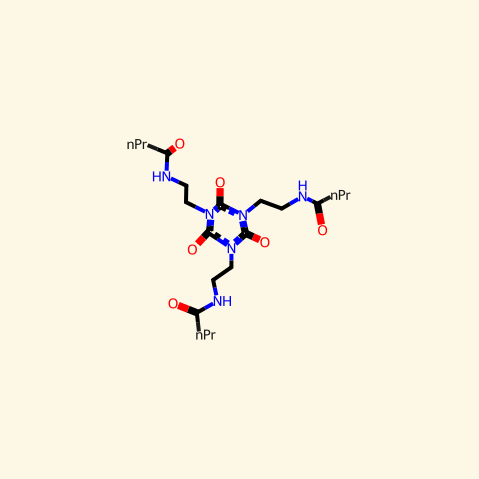 CCCC(=O)NCCn1c(=O)n(CCNC(=O)CCC)c(=O)n(CCNC(=O)CCC)c1=O